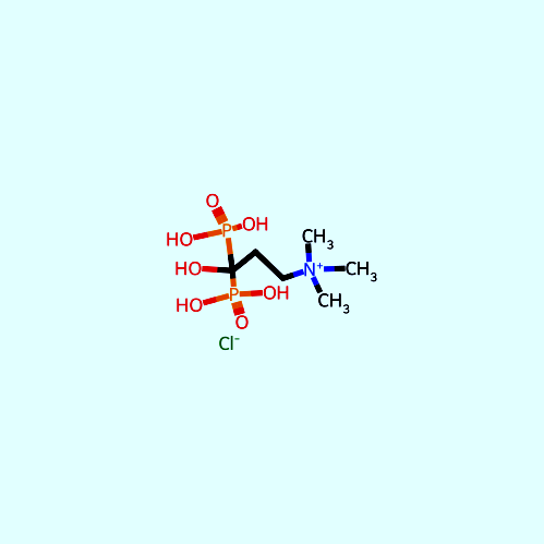 C[N+](C)(C)CCC(O)(P(=O)(O)O)P(=O)(O)O.[Cl-]